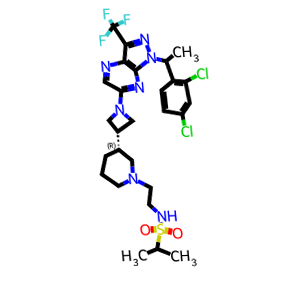 CC(c1ccc(Cl)cc1Cl)n1nc(C(F)(F)F)c2ncc(N3CC([C@H]4CCCN(CCNS(=O)(=O)C(C)C)C4)C3)nc21